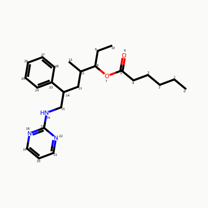 CCCCCC(=O)OC(CC)C(C)CC(CNc1ncccn1)c1ccccc1